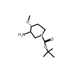 CO[C@@H]1CCN(C(=O)OC(C)(C)C)CC1N